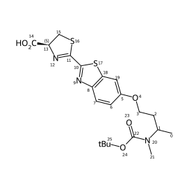 CC(CCOc1ccc2nc(C3=N[C@@H](C(=O)O)CS3)sc2c1)N(C)C(=O)OC(C)(C)C